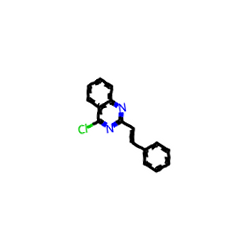 Clc1nc(/C=C/c2ccccc2)nc2ccccc12